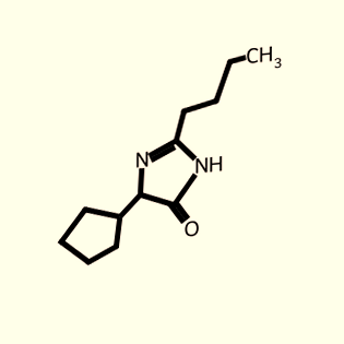 CCCCC1=NC(C2CCCC2)C(=O)N1